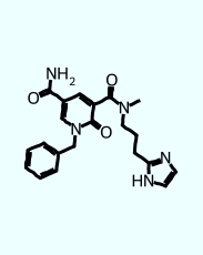 CN(CCCc1ncc[nH]1)C(=O)c1cc(C(N)=O)cn(Cc2ccccc2)c1=O